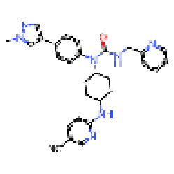 Cn1cc(-c2ccc(N(C(=O)NCc3ccccn3)[C@H]3CC[C@H](Nc4ccc(C#N)cn4)CC3)cc2)cn1